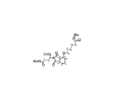 CNC(=O)CCC(C=O)N1C(=O)c2cccc(OCCCCCC(=O)OC(C)(C)C)c2C1=O